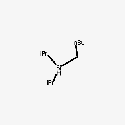 CCCCC[SiH](C(C)C)C(C)C